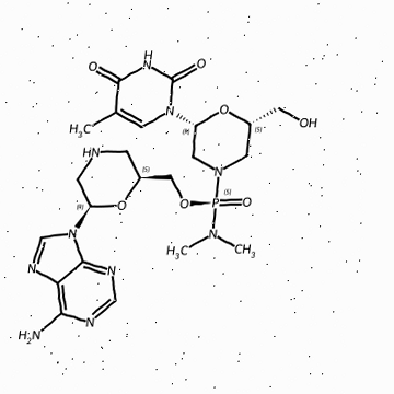 Cc1cn([C@H]2CN([P@@](=O)(OC[C@@H]3CNC[C@H](n4cnc5c(N)ncnc54)O3)N(C)C)C[C@@H](CO)O2)c(=O)[nH]c1=O